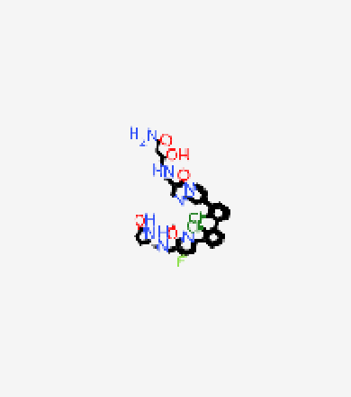 COc1nc(-c2cccc(-c3cccc(-c4ccn5c(=O)c(CNC[C@@H](O)CC(N)=O)cnc5c4)c3Cl)c2Cl)cc(F)c1CNC[C@@H]1CCC(=O)N1